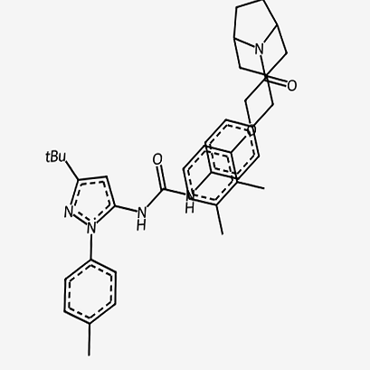 Cc1ccc(-n2nc(C(C)(C)C)cc2NC(=O)Nc2ccc(CC3CC4CCC(C3)N4C(=O)COc3cccc(C)c3C)cc2)cc1